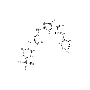 Cc1nc(NCCC(C=O)Cc2ccc(C(F)(F)F)cc2)sc1C(=O)NCc1ccc(F)cc1